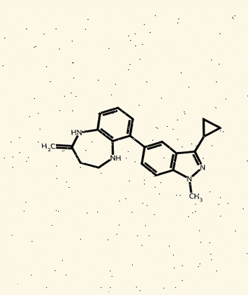 C=C1CCNc2c(cccc2-c2ccc3c(c2)c(C2CC2)nn3C)N1